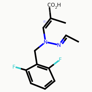 CC=NN(/C=C(\C)C(=O)O)Cc1c(F)cccc1F